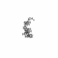 CCCCNC(=O)NCc1ccc(CN2C(=N)NC(C)(Cc3c[nH]c4ccccc34)C2=O)cc1